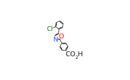 O=C(O)c1ccc(-c2ncc(-c3ccccc3Cl)o2)cc1